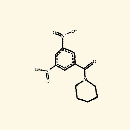 O=C(c1cc([N+](=O)[O-])cc([N+](=O)[O-])c1)N1CCCCC1